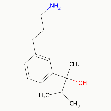 CC(C)C(C)(O)c1cccc(CCCN)c1